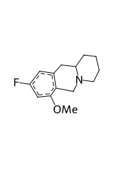 COc1cc(F)cc2c1CN1CCCCC1C2